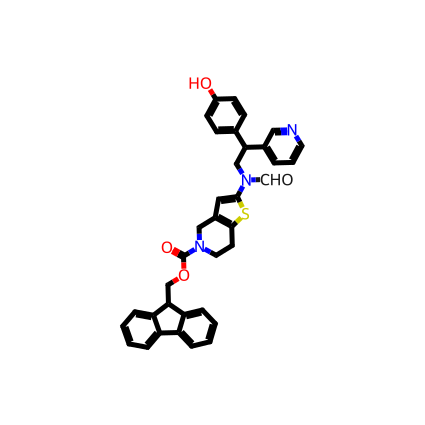 O=CN(CC(c1ccc(O)cc1)c1cccnc1)c1cc2c(s1)CCN(C(=O)OCC1c3ccccc3-c3ccccc31)C2